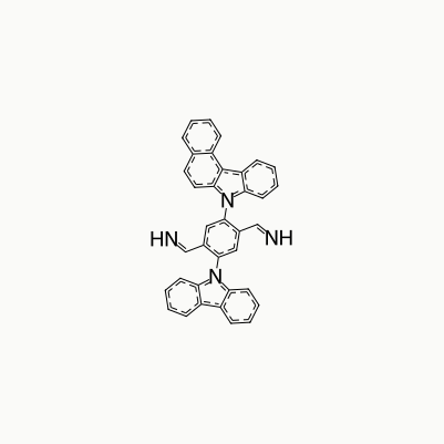 N=Cc1cc(-n2c3ccccc3c3c4ccccc4ccc32)c(C=N)cc1-n1c2ccccc2c2ccccc21